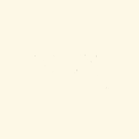 COC(=O)c1cc(Br)ccc1OCc1ccc(C(C)(C)C)cc1